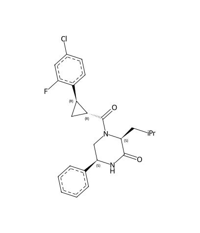 CC(C)C[C@H]1C(=O)N[C@@H](c2ccccc2)CN1C(=O)[C@@H]1C[C@H]1c1ccc(Cl)cc1F